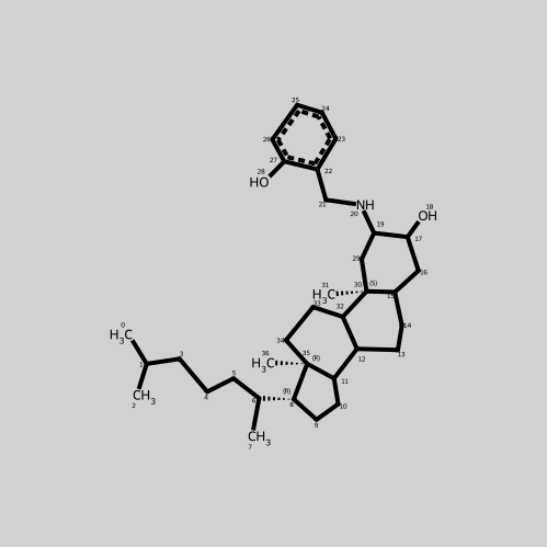 CC(C)CCCC(C)[C@H]1CCC2C3CCC4CC(O)C(NCc5ccccc5O)C[C@]4(C)C3CC[C@@]21C